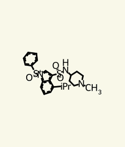 CC(C)c1cccc2c1c(S(=O)(=O)NC1CCN(C)CC1)cn2[S+]([O-])c1ccccc1